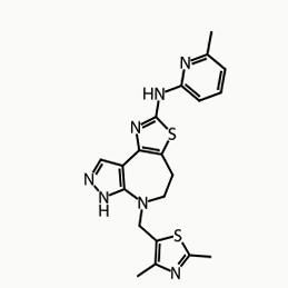 Cc1cccc(Nc2nc3c(s2)CCN(Cc2sc(C)nc2C)c2[nH]ncc2-3)n1